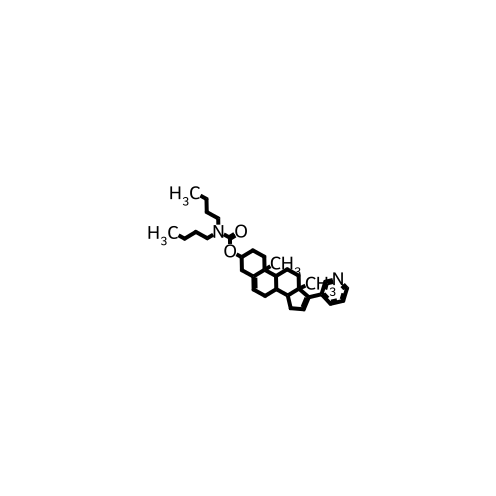 CCCCN(CCCC)C(=O)OC1CCC2(C)C(=CCC3C2CCC2(C)C(c4cccnc4)=CCC32)C1